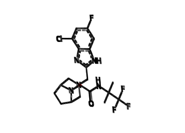 CC(C)(NC(=O)CN1C2CCC1CN(Cc1nc3c(Cl)cc(F)cc3[nH]1)C2)C(F)(F)F